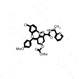 COC(=O)ON1C/C(=C\c2ccc(OC)cc2)c2c(c(C(=O)N[C@H](C)c3ccccn3)nn2-c2ccc(Cl)cc2Cl)C1